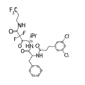 CC(C)[C@H](NC(=O)C(Cc1ccccc1)NC(=O)CCc1cc(Cl)cc(Cl)c1)C(=O)C(F)(F)C(=O)NCCC(F)(F)F